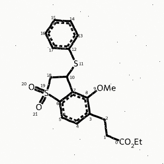 CCOC(=O)CCc1ccc2c(c1OC)C(Sc1ccccc1)CS2(=O)=O